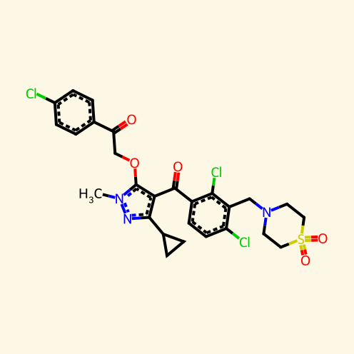 Cn1nc(C2CC2)c(C(=O)c2ccc(Cl)c(CN3CCS(=O)(=O)CC3)c2Cl)c1OCC(=O)c1ccc(Cl)cc1